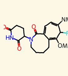 CNC1=CC=C2C(=O)N(C3CCC(=O)NC3=O)CCCCC2=C(OC)C1F